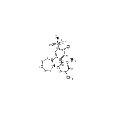 Cc1cc(N2CCOCCC2c2cc(S(N)(=O)=O)c(Cl)cc2Cl)nc(N)n1